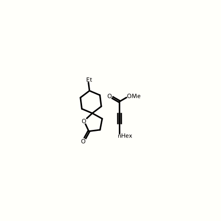 CCC1CCC2(CCC(=O)O2)CC1.CCCCCCC#CC(=O)OC